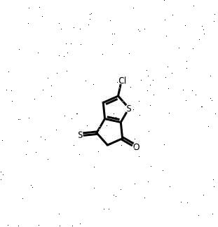 O=C1CC(=S)c2cc(Cl)sc21